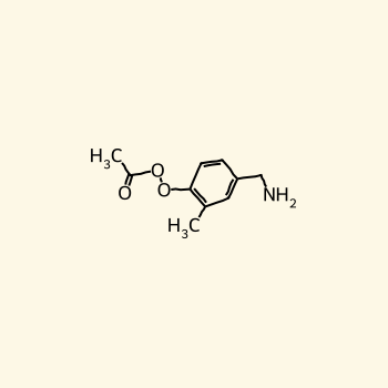 CC(=O)OOc1ccc(CN)cc1C